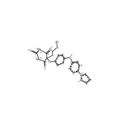 CCOCCC1(Oc2ccc(Oc3ccc(-n4cccn4)cc3)cc2)C(=O)NC(=O)NC1=O